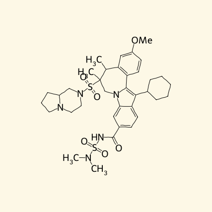 COc1ccc2c(c1)C(C)C(C)(S(=O)(=O)N1CCN3CCCC3C1)Cn1c-2c(C2CCCCC2)c2ccc(C(=O)NS(=O)(=O)N(C)C)cc21